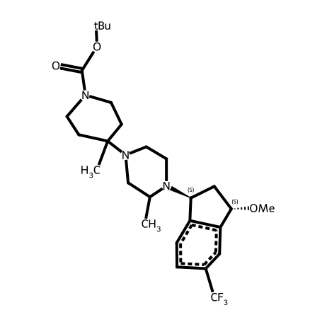 CO[C@H]1C[C@H](N2CCN(C3(C)CCN(C(=O)OC(C)(C)C)CC3)CC2C)c2ccc(C(F)(F)F)cc21